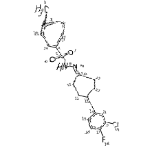 Cc1ccc(S(=O)(=O)NN=C2CCC(c3ccc(F)c(Cl)c3)CC2)cc1